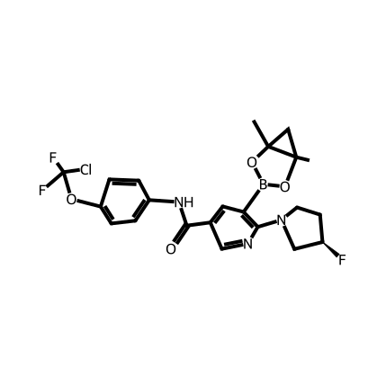 CC12CC1(C)OB(c1cc(C(=O)Nc3ccc(OC(F)(F)Cl)cc3)cnc1N1CC[C@@H](F)C1)O2